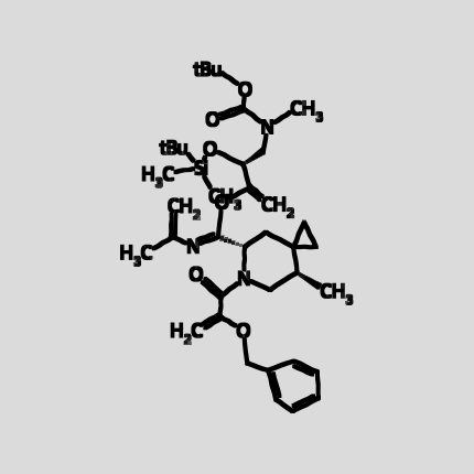 C=C(C)/N=C(\OC(=C)[C@H](CN(C)C(=O)OC(C)(C)C)O[Si](C)(C)C(C)(C)C)[C@@H]1CC2(CC2)[C@@H](C)CN1C(=O)C(=C)OCc1ccccc1